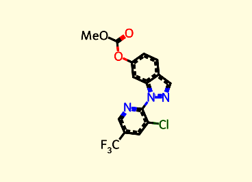 COC(=O)Oc1ccc2cnn(-c3ncc(C(F)(F)F)cc3Cl)c2c1